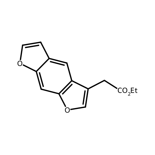 CCOC(=O)Cc1coc2cc3occc3cc12